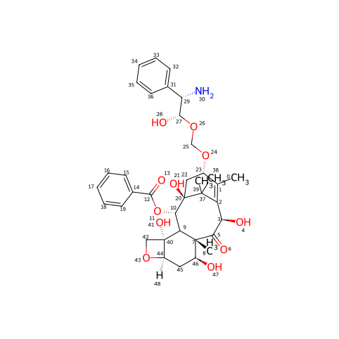 CC1=C2[C@@H](O)C(=O)[C@@]3(C)C([C@H](OC(=O)c4ccccc4)[C@](O)(C[C@@H]1OCO[C@H](O)[C@@H](N)c1ccccc1)C2(C)C)[C@]1(O)CO[C@@H]1C[C@@H]3O